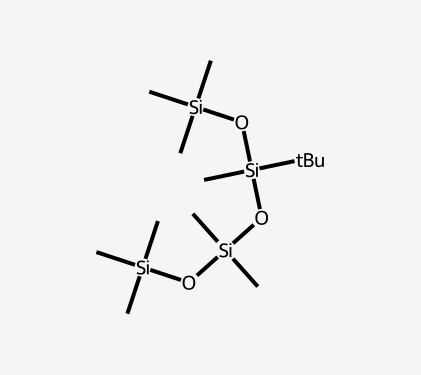 CC(C)(C)[Si](C)(O[Si](C)(C)C)O[Si](C)(C)O[Si](C)(C)C